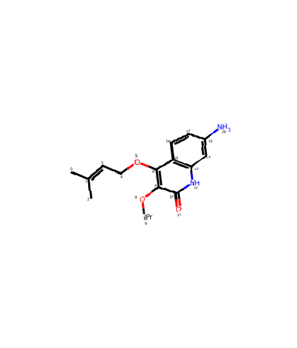 CC(C)=CCOc1c(OC(C)C)c(=O)[nH]c2cc(N)ccc12